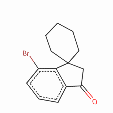 O=C1CC2(CCCCC2)c2c(Br)cccc21